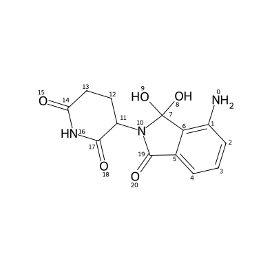 Nc1cccc2c1C(O)(O)N(C1CCC(=O)NC1=O)C2=O